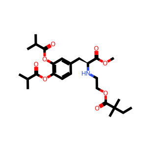 CCC(C)(C)C(=O)OCCN[C@@H](Cc1ccc(OC(=O)C(C)C)c(OC(=O)C(C)C)c1)C(=O)OC